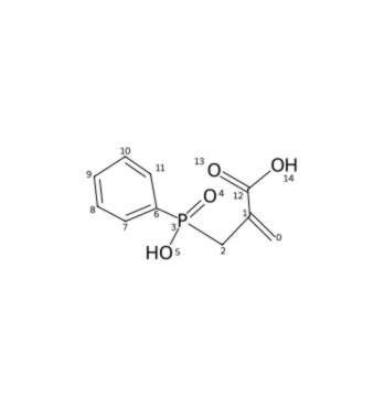 C=C(CP(=O)(O)c1ccccc1)C(=O)O